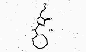 Br.CCCC1SC(NC2CCCCCCC2)=NC1=O